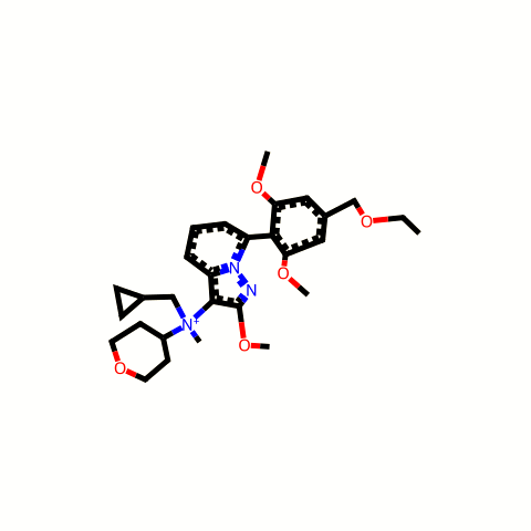 CCOCc1cc(OC)c(-c2cccc3c([N+](C)(CC4CC4)C4CCOCC4)c(OC)nn23)c(OC)c1